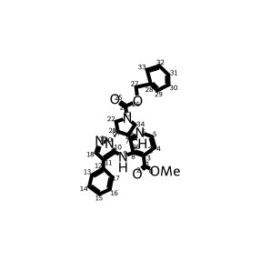 COC(=O)c1ccncc1Nc1c(-c2ccccc2)cnn1[C@@H]1CN(C(=O)OCc2ccccc2)C[C@H]1C